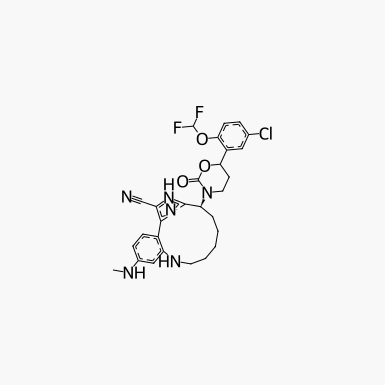 CNc1ccc2c(c1)NCCCCC[C@H](N1CCC(c3cc(Cl)ccc3OC(F)F)OC1=O)c1nc-2c(C#N)[nH]1